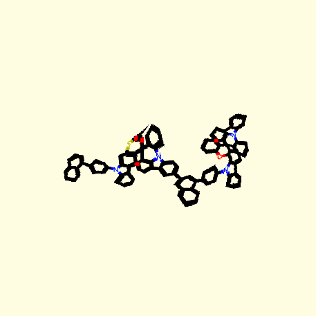 c1ccc2c(c1)Oc1c(ccc3c4ccccc4n(-c4ccc(-c5cc(-c6ccc7c(c6)c6cccc8c6n7-c6ccccc6C86c7ccccc7Sc7cc8c(cc76)c6ccccc6n8-c6ccc(-c7cccc8ccccc78)cc6)cc6ccccc56)cc4)c13)C21c2ccccc2-n2c3ccccc3c3cccc1c32